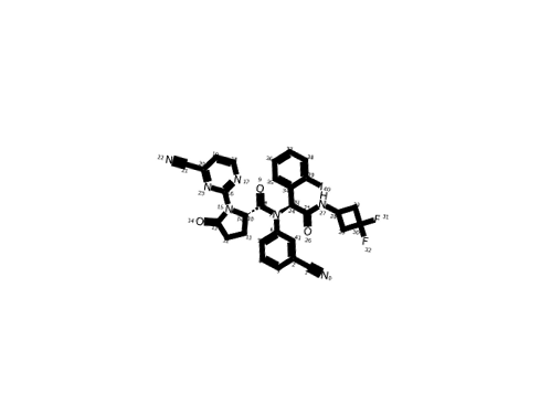 N#Cc1cccc(N(C(=O)[C@@H]2CCC(=O)N2c2nccc(C#N)n2)[C@H](C(=O)NC2CC(F)(F)C2)c2ccccc2I)c1